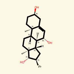 CC(C)[C@@H]1C[C@H]2[C@@H]3[C@@H](O)C=C4C[C@H](O)CC[C@]4(C)[C@H]3CC[C@]2(C)[C@H]1O